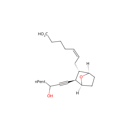 CCCCCC(O)C#C[C@H]1[C@H](C/C=C\CCCC(=O)O)[C@H]2CC[C@@H]1O2